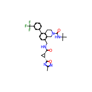 Cc1noc([C@@H]2C[C@H]2C(=O)NCc2ccc(-c3cccc(C(F)(F)F)c3)c3c2CN(C(=O)NC(C)(C)C)CC3)n1